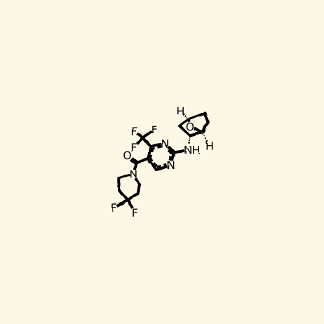 O=C(c1cnc(N[C@@H]2C[C@H]3CC[C@@H]2O3)nc1C(F)(F)F)N1CCC(F)(F)CC1